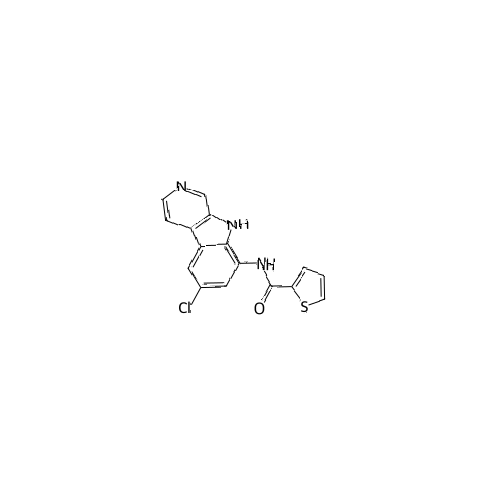 O=C(Nc1cc(Cl)cc2c1[nH]c1cnccc12)c1cccs1